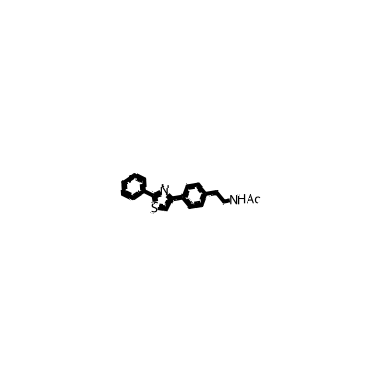 CC(=O)NCCc1ccc(-c2csc(-c3ccccc3)n2)cc1